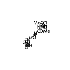 COc1cc(Nc2c(C#N)cnc3cc(OCCCN4CCN(C(=O)CCOCCOc5cccc6c5C(=O)N(C5CCC(=O)NC5=O)C6=O)CC4)c(OC)cc23)c(Cl)cc1Cl